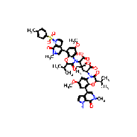 COc1cc(-c2cn(C)c(=O)c3[nH]ccc23)c2c(c1)N(C(CC(C)(C)C(C(=O)O)N1C(=O)C(C(C)C)Oc3c(-c4cn(C)c(=O)c5c4ccn5S(=O)(=O)c4ccc(C)cc4)cc(OC)cc31)C(=O)O)C(=O)C(C(C)C)O2